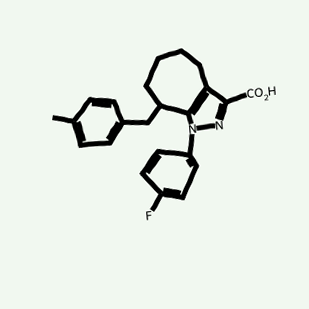 Cc1ccc(CC2CCCCc3c(C(=O)O)nn(-c4ccc(F)cc4)c32)cc1